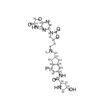 CN(CCC1CN(c2cnc3c(n2)NC(=O)CO3)C(=O)O1)CC1Cc2cc(NC(=O)C3CC(O)CN3)cc(F)c2C1